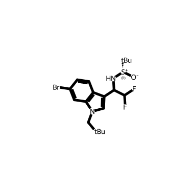 CC(C)(C)Cn1cc(C(N[S@@+]([O-])C(C)(C)C)C(F)F)c2ccc(Br)cc21